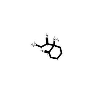 CCC(=O)C1(N)CCCCC1=O